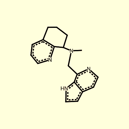 CN(Cc1nccc2cc[nH]c12)C1CCCc2cccnc21